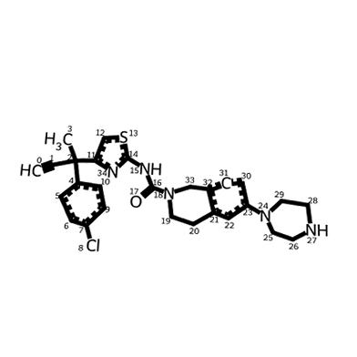 C#CC(C)(c1ccc(Cl)cc1)c1csc(NC(=O)N2CCc3cc(N4CCNCC4)ccc3C2)n1